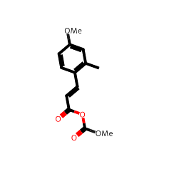 COC(=O)OC(=O)C=Cc1ccc(OC)cc1C